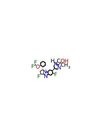 CC(C)(O)c1ncc(-c2cc3c(cc2F)nc2n3[C@@H](c3ccccc3OC(F)F)C[C@H]2F)cn1